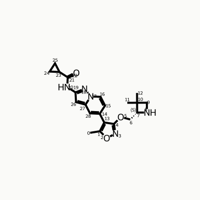 Cc1onc(OC[C@H]2NCC2(C)C)c1-c1ccn2nc(NC(=O)C3CC3)cc2c1